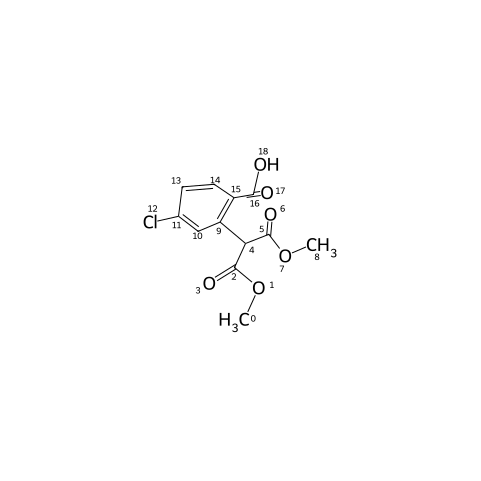 COC(=O)C(C(=O)OC)c1cc(Cl)ccc1C(=O)O